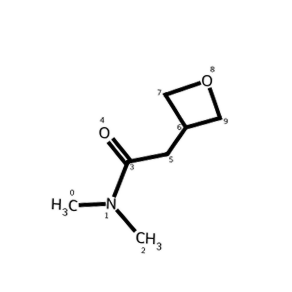 CN(C)C(=O)CC1COC1